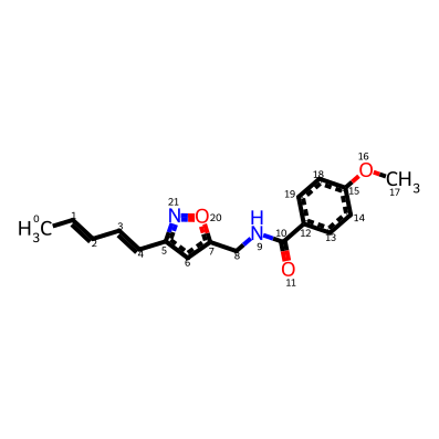 CC=CC=Cc1cc(CNC(=O)c2ccc(OC)cc2)on1